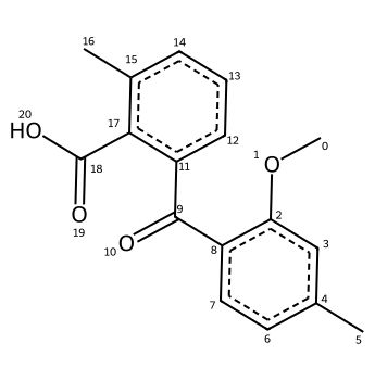 COc1cc(C)ccc1C(=O)c1cccc(C)c1C(=O)O